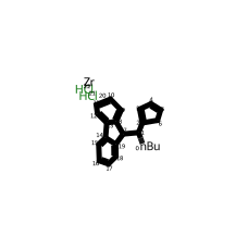 CCCCC(C1=CC=CC1)C1c2ccccc2-c2ccccc21.Cl.Cl.[Zr]